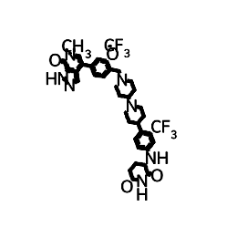 Cn1cc(-c2ccc(CN3CCC(N4CCC(c5ccc(NC6CCC(=O)NC6=O)cc5C(F)(F)F)CC4)CC3)c(OC(F)(F)F)c2)c2cn[nH]c2c1=O